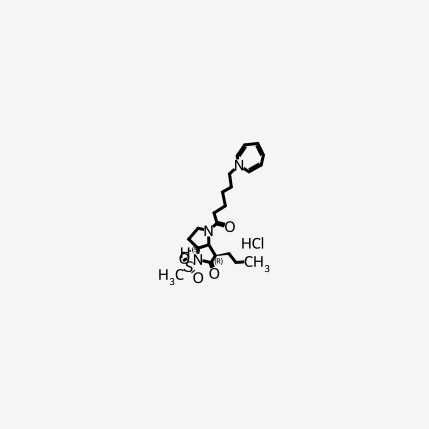 CCC[C@H]1C(=O)N(S(C)(=O)=O)[C@H]2CCN(C(=O)CCCCCN3C=CC=CC=C3)C12.Cl